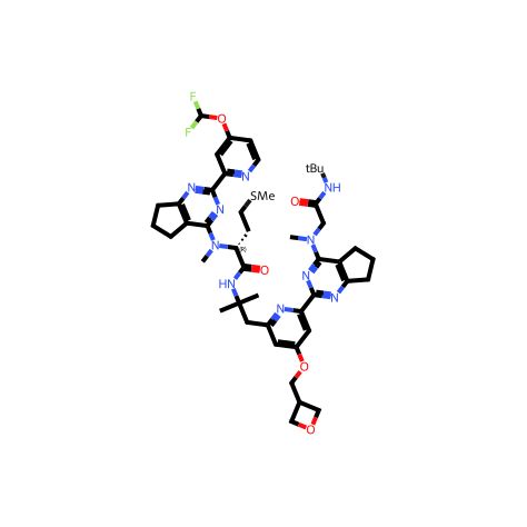 CSCC[C@H](C(=O)NC(C)(C)Cc1cc(OCC2COC2)cc(-c2nc3c(c(N(C)CC(=O)NC(C)(C)C)n2)CCC3)n1)N(C)c1nc(-c2cc(OC(F)F)ccn2)nc2c1CCC2